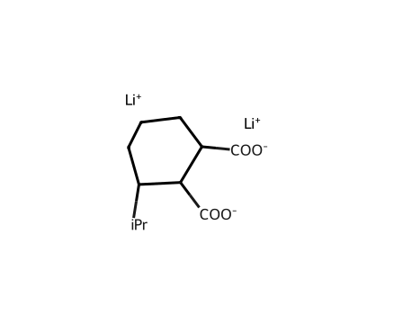 CC(C)C1CCCC(C(=O)[O-])C1C(=O)[O-].[Li+].[Li+]